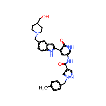 Cc1ccc(Cn2cc(C(=O)Nc3c[nH]c(=O)c(-c4cc5cc(CN6CCC(CO)CC6)ccc5[nH]4)c3)cn2)cc1